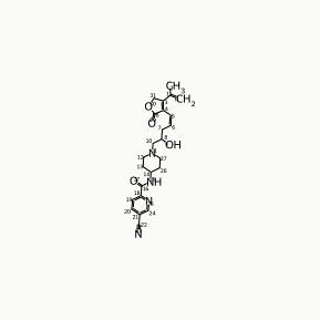 C=C(C)C1=C(/C=C\C[C@@H](O)CN2CCC(NC(=O)c3ccc(C#N)cn3)CC2)C(=O)OC1